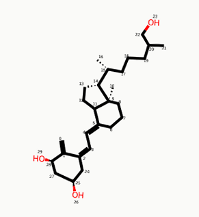 C=C1/C(=C\C=C2CCC[C@@]3(C)C2CC[C@@H]3[C@H](C)CCCC(C)CO)C[C@@H](O)C[C@H]1O